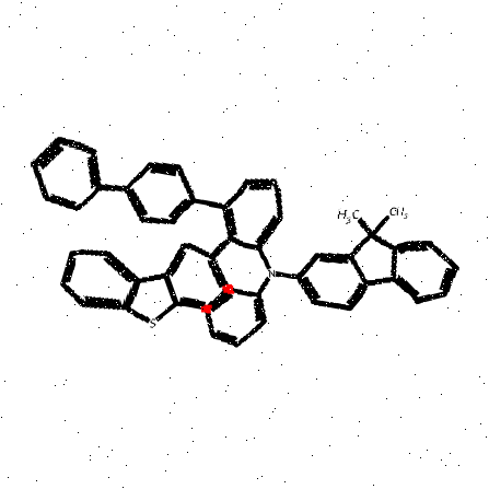 CC1(C)c2ccccc2-c2ccc(N(c3ccccc3)c3cccc(-c4ccc(-c5ccccc5)cc4)c3-c3ccc4sc5ccccc5c4c3)cc21